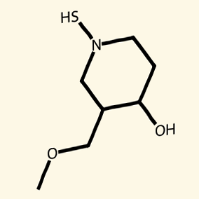 COCC1CN(S)CCC1O